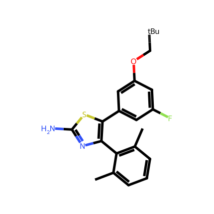 Cc1cccc(C)c1-c1nc(N)sc1-c1cc(F)cc(OCC(C)(C)C)c1